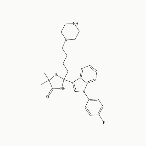 CC1(C)SC(CCCCN2CCNCC2)(c2cn(-c3ccc(F)cc3)c3ccccc23)NC1=O